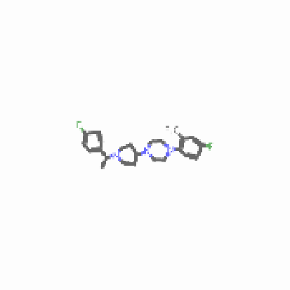 CC(c1ccc(F)cc1)N1CCC(N2CCN(c3ccc(F)cc3C(F)(F)F)CC2)CC1